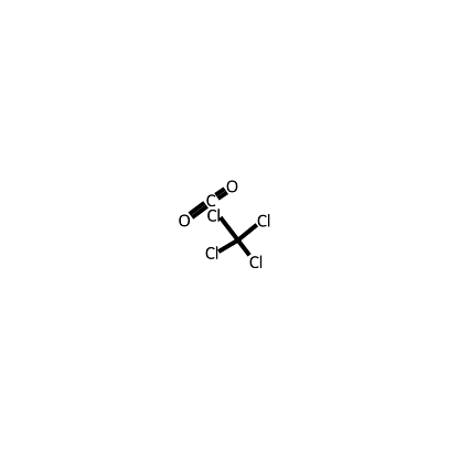 ClC(Cl)(Cl)Cl.O=C=O